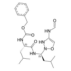 CC(C)C[C@H](NC(=O)OCc1ccccc1)C(=O)N[C@H](CC(C)C)N1NC(NC=O)=CO1